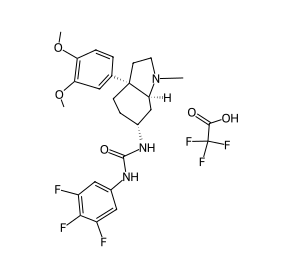 COc1ccc([C@@]23CC[C@@H](NC(=O)Nc4cc(F)c(F)c(F)c4)C[C@@H]2N(C)CC3)cc1OC.O=C(O)C(F)(F)F